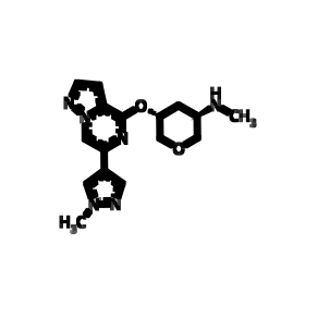 CN[C@H]1COC[C@H](Oc2nc(-c3cnn(C)c3)cn3nccc23)C1